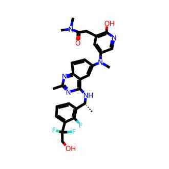 Cc1nc(N[C@H](C)c2cccc(C(F)(F)CO)c2F)c2cc(N(C)c3cnc(O)c(CC(=O)N(C)C)c3)ccc2n1